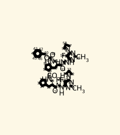 Cc1nc(NNC(=O)[C@@H](CNC(=O)O)CC2CCCC2)c(F)c(N2CCC2)n1.Cc1nc(NNC(=O)[C@@H](CNC(=O)OCc2ccccc2)CC2CCCC2)c(F)c(N2CCC2)n1